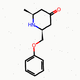 C[C@H]1CC(=O)C[C@@H](COc2ccccc2)N1